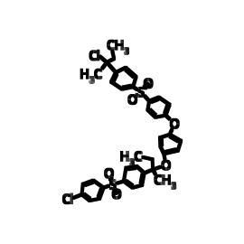 CCC(C)(Cl)c1ccc(S(=O)(=O)c2ccc(Oc3ccc(OC(C)(CC)c4ccc(S(=O)(=O)c5ccc(Cl)cc5)cc4)cc3)cc2)cc1